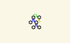 Clc1cccc(Sc2cc(N(c3ccccc3)c3ccccc3)cc(N(c3ccccc3)c3ccccc3)c2)c1